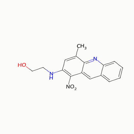 Cc1cc(NCCO)c([N+](=O)[O-])c2cc3ccccc3nc12